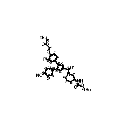 CC(C)(C)OC(=O)COc1ccc(-c2sc(C(=O)N3CCC[C@@H](NC(=O)OC(C)(C)C)C3)cc2-c2ccc(C#N)c(F)c2)cc1F